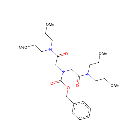 COCCN(CCOC)C(=O)CN(CC(=O)N(CCOC)CCOC)C(=O)OCc1ccccc1